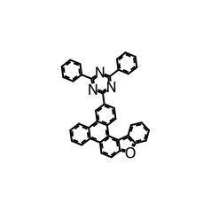 c1ccc(-c2nc(-c3ccccc3)nc(-c3ccc4c(c3)c3ccccc3c3ccc5oc6ccccc6c5c34)n2)cc1